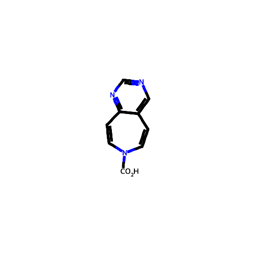 O=C(O)N1C=Cc2cncnc2C=C1